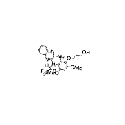 COc1cc(Nc2nc3ccccc3nc2NS(=O)(=O)C(F)(F)F)c(OCCCO)c(OC)c1